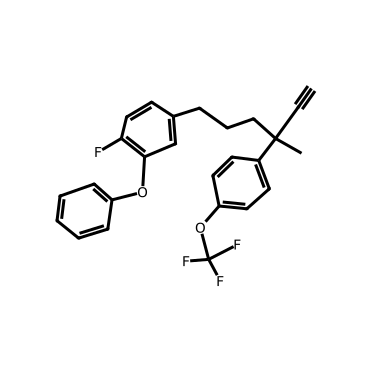 C#CC(C)(CCCc1ccc(F)c(Oc2ccccc2)c1)c1ccc(OC(F)(F)F)cc1